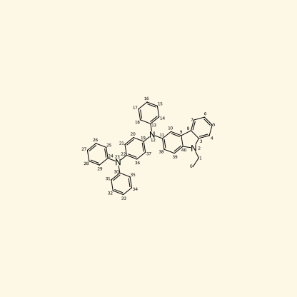 CCn1c2ccccc2c2cc(N(c3ccccc3)c3ccc(N(c4ccccc4)c4ccccc4)cc3)ccc21